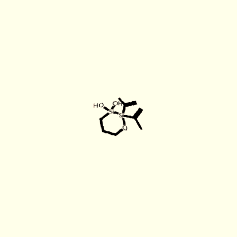 C=C(C)[Si]1(C(=C)C)OCCC[Si]1(O)O